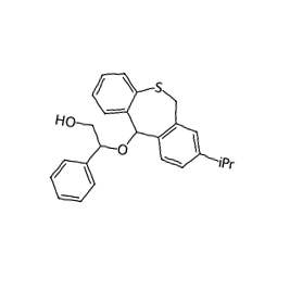 CC(C)c1ccc2c(c1)CSc1ccccc1C2OC(CO)c1ccccc1